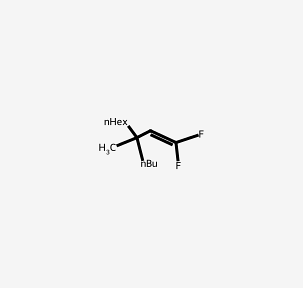 CCCCCCC(C)(C=C(F)F)CCCC